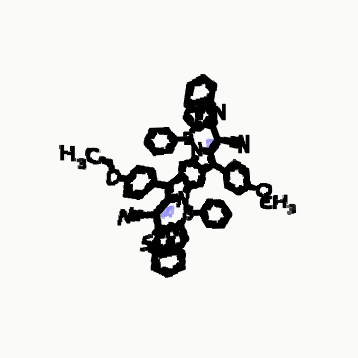 CCOc1ccc(-c2/c(=C(\C#N)c3nc4ccccc4s3)n(B(c3ccccc3)c3ccccc3)c3cc4c(-c5ccc(OC)cc5)/c(=C(\C#N)c5nc6ccccc6s5)n(B(c5ccccc5)c5ccccc5)c4cc23)cc1